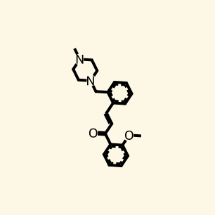 COc1ccccc1C(=O)C=Cc1ccccc1CN1CCN(C)CC1